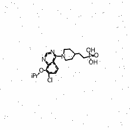 CC(C)Oc1c(Cl)ccc2c(N3CCC(CCP(=O)(O)O)CC3)ncnc12